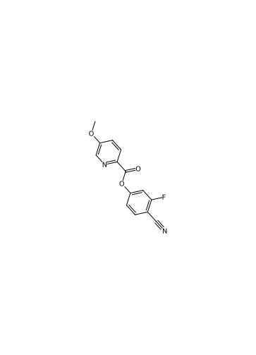 COc1ccc(C(=O)Oc2ccc(C#N)c(F)c2)nc1